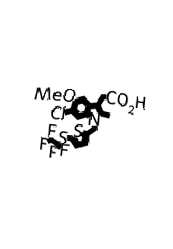 COc1cc2c(CC(=O)O)c(C)n(Cc3ccc(SC(F)(F)C(F)F)s3)c2cc1Cl